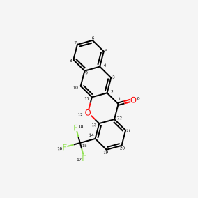 O=c1c2cc3ccccc3cc2oc2c(C(F)(F)F)cccc12